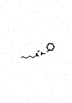 CCCCCc1nc(Nc2ccccc2)n[nH]1